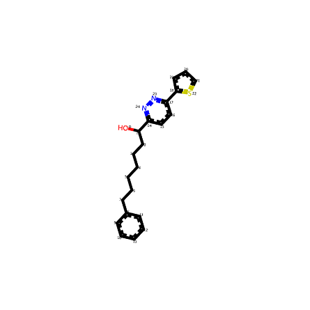 OC(CCCCCCc1ccccc1)c1ccc(-c2cccs2)nn1